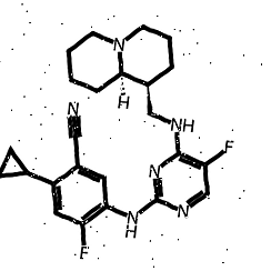 N#Cc1cc(Nc2ncc(F)c(NC[C@@H]3CCCN4CCCC[C@H]34)n2)c(F)cc1C1CC1